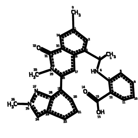 Cc1cc(C(C)Nc2ccccc2C(=O)O)c2cc(-c3cccc4cn(C)nc34)n(C)c(=O)c2c1